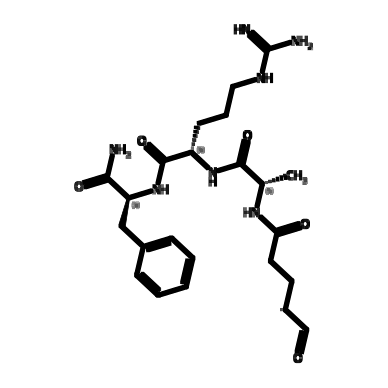 C[C@H](NC(=O)CC[CH]C=O)C(=O)N[C@@H](CCCNC(=N)N)C(=O)N[C@@H](Cc1ccccc1)C(N)=O